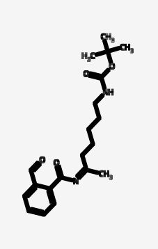 CC(CCCCCNC(=O)OC(C)(C)C)=NC(=O)c1ccccc1C=O